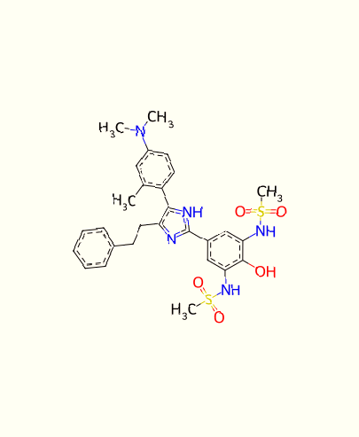 Cc1cc(N(C)C)ccc1-c1[nH]c(-c2cc(NS(C)(=O)=O)c(O)c(NS(C)(=O)=O)c2)nc1CCc1ccccc1